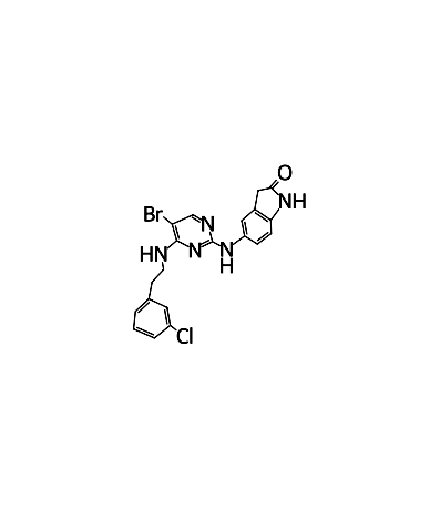 O=C1Cc2cc(Nc3ncc(Br)c(NCCc4cccc(Cl)c4)n3)ccc2N1